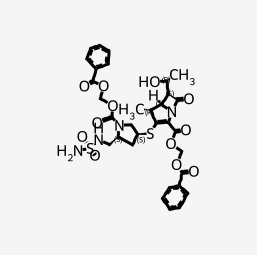 C[C@@H](O)[C@H]1C(=O)N2C(C(=O)OCOC(=O)c3ccccc3)=C(S[C@H]3C[C@@H](CNS(N)(=O)=O)N(C(=O)OCOC(=O)c4ccccc4)C3)[C@H](C)[C@H]12